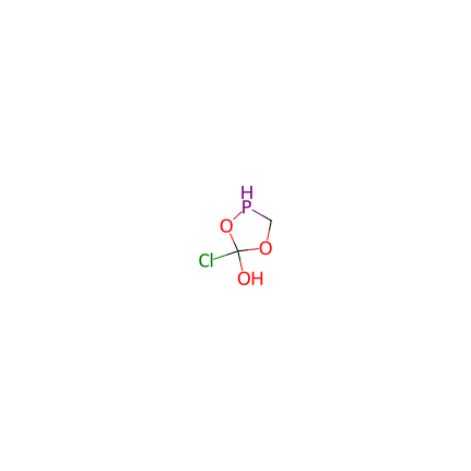 OC1(Cl)OCPO1